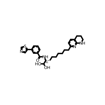 O=C(N[C@H](CCCCCCCc1ccc2c(n1)NCCC2)C(O)O)c1cccc(-c2cncs2)c1